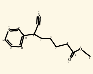 COC(=O)CCCCC(C#N)c1cccnc1